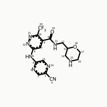 N#Cc1cnc(Nc2cc(C(=O)NCC3CNCCO3)c(C(F)(F)F)nn2)cn1